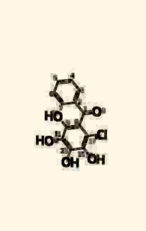 O=C(c1ccccc1)c1c(O)c(O)c(O)c(O)c1Cl